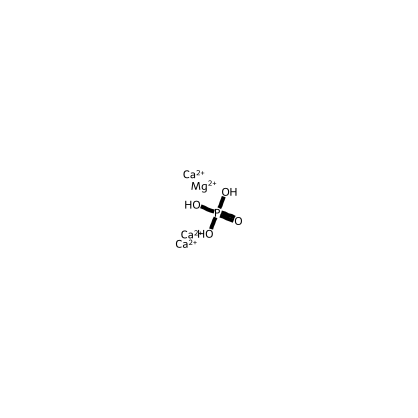 O=P(O)(O)O.[Ca+2].[Ca+2].[Ca+2].[Mg+2]